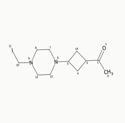 CC(=O)C1CC(N2CCN(CI)CC2)C1